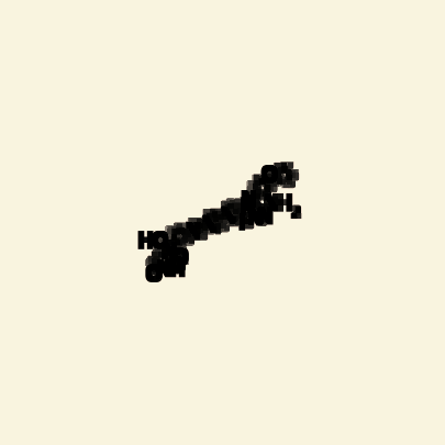 Nc1ncnc2c1c(-c1ccc(Oc3ccccc3)cc1)nn2C1CCN(C2CCN(C3CN(c4ccc5c(c4)C(=O)N(C4CCC(=O)NC4=O)C5O)C3)CC2)CC1F